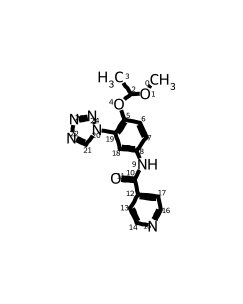 COC(C)Oc1ccc(NC(=O)c2ccncc2)cc1-n1cnnn1